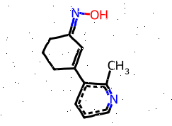 Cc1ncccc1C1=CC(=NO)CCC1